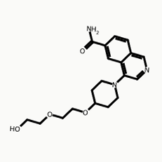 NC(=O)c1ccc2cncc(N3CCC(OCCOCCO)CC3)c2c1